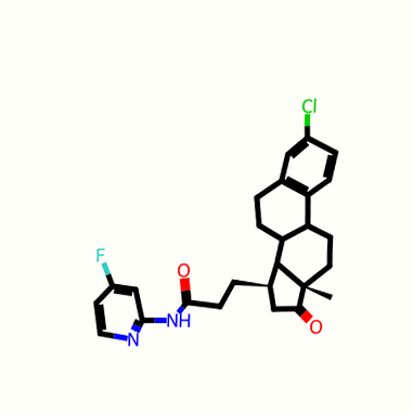 C[C@]12CCC3c4ccc(Cl)cc4CCC3C1[C@H](CCC(=O)Nc1cc(F)ccn1)CC2=O